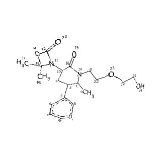 CC1C(c2ccccc2)CC(N2C(=O)OC2(C)C)C(=O)N1CCOCCO